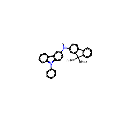 CCCCCCC1(CCCCCC)c2ccccc2-c2ccc(N(C)c3ccc4c(c3)c3ccccc3n4-c3ccccc3)cc21